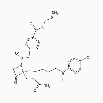 C=CCOC(=O)c1ccc(C[S+]([O-])C2CC(=O)[N+]2(CCCCCC(=O)c2ccc(Cl)cc2)CCC(N)=O)cc1